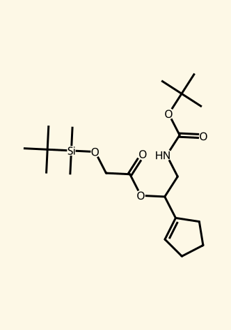 CC(C)(C)OC(=O)NCC(OC(=O)CO[Si](C)(C)C(C)(C)C)C1=CCCC1